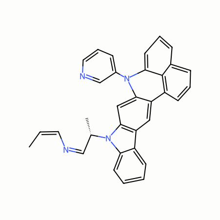 C/C=C\N=C/[C@H](C)n1c2ccccc2c2cc3c(cc21)N(c1cccnc1)c1cccc2cccc-3c12